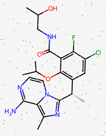 Cc1nc([C@@H](C)c2cc(Cl)c(F)c(C(=O)NCC(C)O)c2OC(C)C)n2ccnc(N)c12